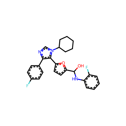 OC(Nc1ccccc1F)c1ccc(-c2c(-c3ccc(F)cc3)ncn2C2CCCCC2)o1